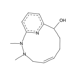 CN1C/C=C\CCC(O)c2cccc(n2)N1C